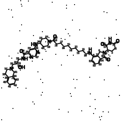 O=C1CCC(N2Cc3c(NCCCCCCCCCC(=O)N4CCC(Nc5cc(C(=O)NC[C@H](O)CN6CCc7ccccc7C6)ncn5)CC4)cccc3C2=O)C(=O)N1